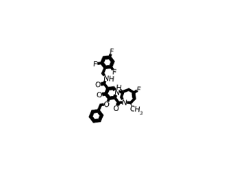 C[C@H]1C=C(F)C[C@H]2CN1C(=O)c1c(OCc3ccccc3)c(=O)c(C(=O)NCc3c(F)cc(F)cc3F)cn12